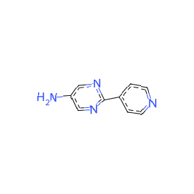 Nc1cnc(-c2ccncc2)nc1